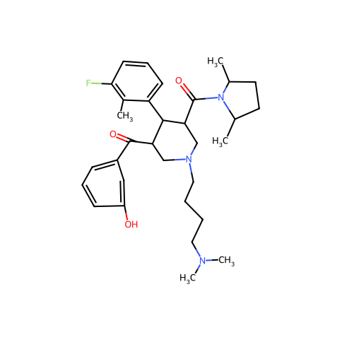 Cc1c(F)cccc1C1C(C(=O)c2cccc(O)c2)CN(CCCCN(C)C)CC1C(=O)N1C(C)CCC1C